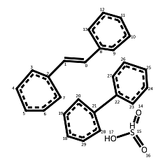 C(=Cc1ccccc1)c1ccccc1.O=[SH](=O)O.c1ccc(-c2ccccc2)cc1